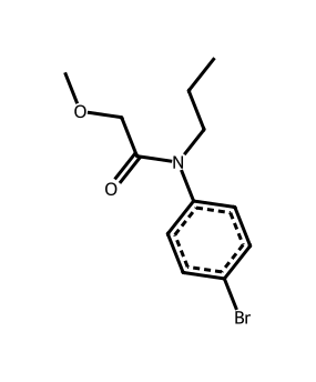 CCCN(C(=O)COC)c1ccc(Br)cc1